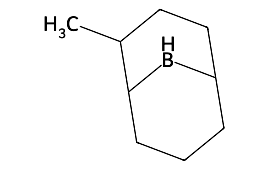 CC1CCC2BC1CCC2